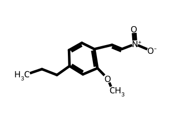 CCCc1ccc(/C=C/[N+](=O)[O-])c(OC)c1